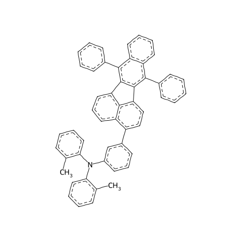 Cc1ccccc1N(c1cccc(-c2ccc3c4c(cccc24)-c2c-3c(-c3ccccc3)c3ccccc3c2-c2ccccc2)c1)c1ccccc1C